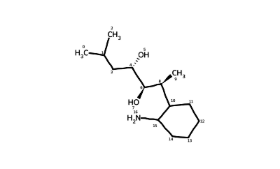 CC(C)C[C@H](O)[C@H](O)[C@@H](C)C1CCCCC1N